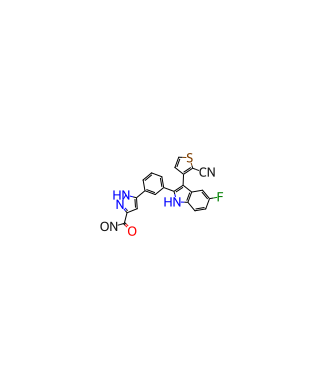 N#Cc1sccc1-c1c(-c2cccc(-c3cc(C(=O)N=O)n[nH]3)c2)[nH]c2ccc(F)cc12